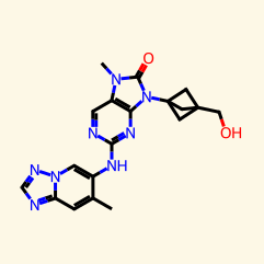 Cc1cc2ncnn2cc1Nc1ncc2c(n1)n(C13CC(CO)(C1)C3)c(=O)n2C